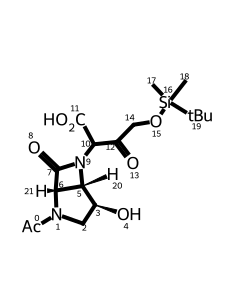 CC(=O)N1C[C@H](O)[C@@H]2[C@H]1C(=O)N2C(C(=O)O)C(=O)CO[Si](C)(C)C(C)(C)C